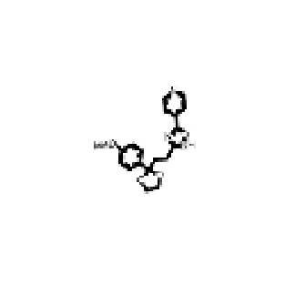 COc1ccc(C2(CCc3nc(-c4ccncc4)n[nH]3)OCCO2)cc1